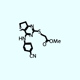 COC(=O)CCSc1nc2c(c(Nc3ccc(C#N)cc3)n1)SCC2